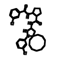 O=C(NC1CCCC1C(=O)NC1CC2(CCCCCCCCC2)N(c2cccc(Cl)c2)N1)c1cccc(Cl)c1